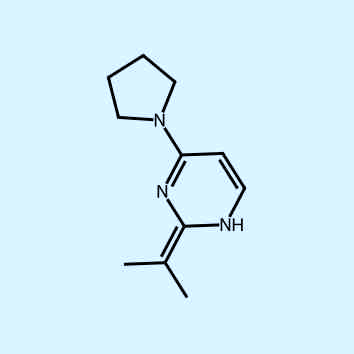 CC(C)=C1N=C(N2CCCC2)C=CN1